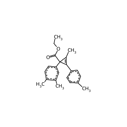 CCOC(=O)C1(c2ccc(C)c(C)c2)C(C)=C1c1ccc(C)cc1